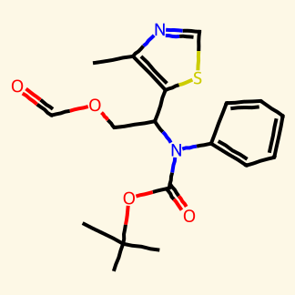 Cc1ncsc1C(COC=O)N(C(=O)OC(C)(C)C)c1ccccc1